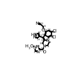 Cn1cnc(C(=O)N2CCn3c(c(-c4cn[nH]c4)c4c(OCC#N)cc(Cl)c(Cl)c43)C2)n1